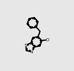 Clc1cc2ncsc2cc1Cc1ccccc1